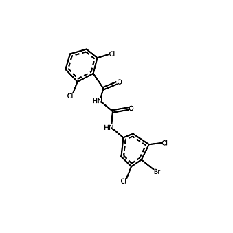 O=C(NC(=O)c1c(Cl)cccc1Cl)Nc1cc(Cl)c(Br)c(Cl)c1